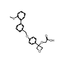 CSc1ccccc1-c1cccc(COc2ccc(C3(OCC(=O)O)COC3)cc2)c1